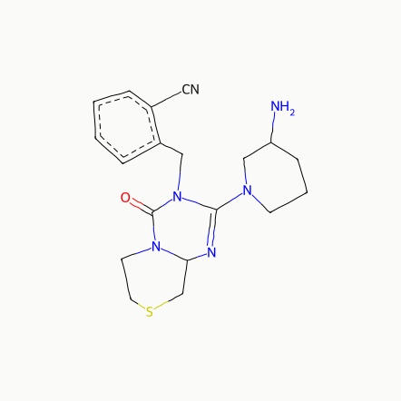 N#Cc1ccccc1CN1C(=O)N2CCSCC2N=C1N1CCCC(N)C1